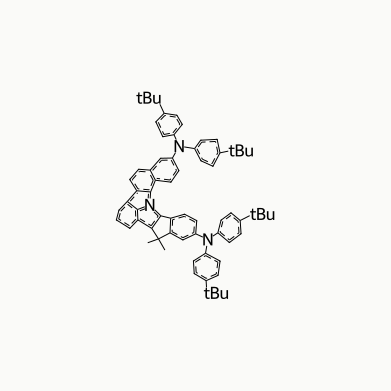 CC(C)(C)c1ccc(N(c2ccc(C(C)(C)C)cc2)c2ccc3c(c2)C(C)(C)c2c-3n3c4c2cccc4c2ccc4cc(N(c5ccc(C(C)(C)C)cc5)c5ccc(C(C)(C)C)cc5)ccc4c23)cc1